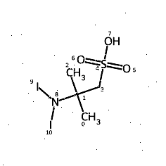 CC(C)(CS(=O)(=O)O)N(I)I